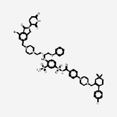 CC1(C)CCC(c2ccc(Cl)cc2)=C(CN2CCN(c3ccc(C(=O)NS(=O)(=O)c4ccc(N[C@H](CCN5CCN(Cc6cc(Br)c7c(c6)CN(C6CCC(=O)NC6=O)C7=O)CC5)CSc5ccccc5)c(S(=O)(=O)C(F)(F)F)c4)cc3)CC2)C1